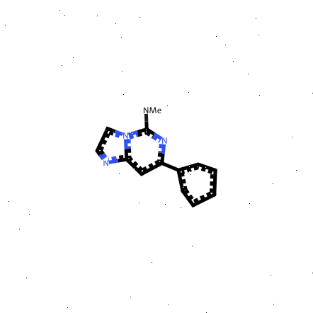 CNc1nc(-c2ccccc2)cc2nccn12